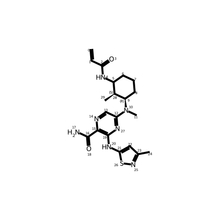 C=CC(=O)NC1CCC[C@@H](N(C)c2cnc(C(N)=O)c(Nc3cc(C)ns3)n2)[C@H]1C